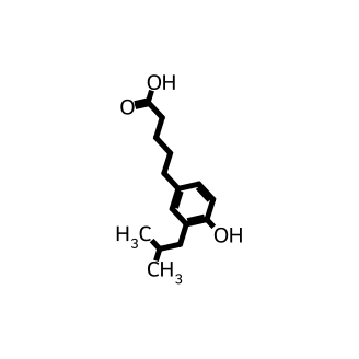 CC(C)Cc1cc(CCCCC(=O)O)ccc1O